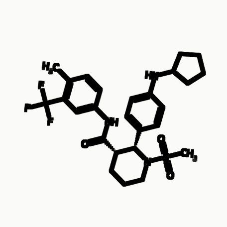 Cc1ccc(NC(=O)[C@H]2CCCN(S(C)(=O)=O)[C@H]2c2ccc(NC3CCCC3)cc2)cc1C(F)(F)F